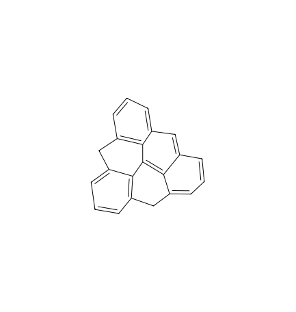 c1cc2c3c(c1)Cc1cccc4cc5cccc(c5c-3c14)C2